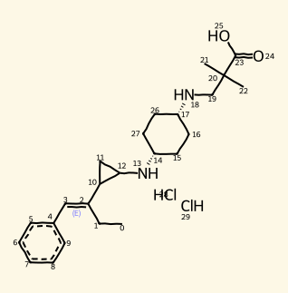 CC/C(=C\c1ccccc1)C1CC1N[C@H]1CC[C@@H](NCC(C)(C)C(=O)O)CC1.Cl.Cl